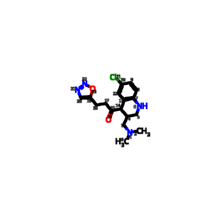 CN(C)CC1CNc2ccc(Cl)cc2C1C(=O)CCc1cnno1